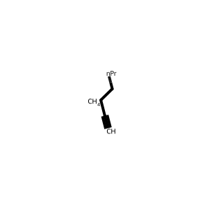 C.C#CCCCCC